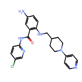 Nc1ccc(NCC2CCN(c3ccncc3)CC2)c(C(=O)Nc2ccc(Cl)cn2)c1